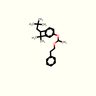 CC(OCCc1ccccc1)Oc1ccc2c(c1)C(C)(C)C2CC(C)(C)C